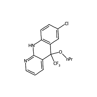 CCCOC1(C(F)(F)F)c2cc(Cl)ccc2Nc2ncccc21